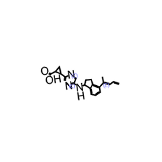 C=C/C=C(\C)c1cccc2c1CCC2NC(/C=N\C(=C)C1CC1C(=O)O)=N/C